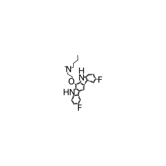 CCCCN(C)CCOc1c2[nH]c3ccc(F)cc3c2cc2c1[nH]c1ccc(F)cc12